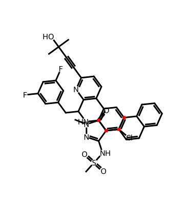 Cn1nc(NS(C)(=O)=O)c2c(Cl)ccc(-c3ccc(C#CC(C)(C)O)nc3C(Cc3cc(F)cc(F)c3)NC(=O)Cc3ccc4ccccc4c3)c21